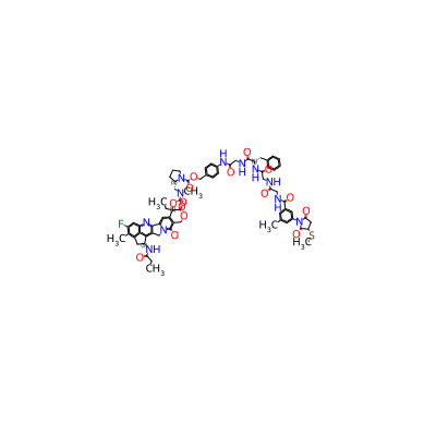 CCC(=O)N[C@H]1Cc2c(C)c(F)cc3nc4c(c1c23)Cn1c-4cc2c(c1=O)COC(=O)[C@@]2(CC)OC(=O)N(C)C[C@@H]1CCCN1C(=O)OCc1ccc(NC(=O)CNC(=O)[C@H](Cc2ccccc2)NC(=O)CNC(=O)CNC(=O)c2cc(C)cc(N3C(=O)CC(SC)C3=O)c2)cc1